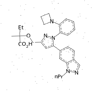 CCCn1ncc2ccc(-c3cc(COC(C)(CC)C(=O)O)nn3-c3ccccc3N3CCC3)cc21